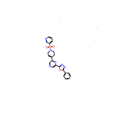 O=S(=O)(c1cccnc1)N1CC=C(c2cncc(-c3nnc(-c4ccccc4)o3)n2)CC1